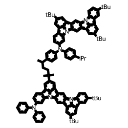 CC(C)c1ccc(N(c2ccc(C(C)CCC(C)(C)c3cc4c5ccc(N(c6ccccc6)c6ccccc6)cc5n5c6cc7c8cc(C(C)(C)C)cc9c%10cc(C(C)(C)C)ccc%10n(c7cc6c(c3)c45)c98)cc2)c2ccc3c4cc(C(C)(C)C)cc5c6cc7c(cc6n(c3c2)c45)c2cc(C(C)(C)C)cc3c4cc(C(C)(C)C)ccc4n7c32)cc1